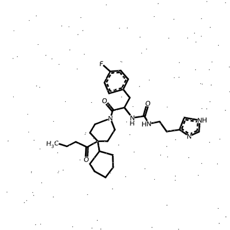 CCCC(=O)C1(C2CCCCC2)CCN(C(=O)C(Cc2ccc(F)cc2)NC(=O)NCCc2c[nH]cn2)CC1